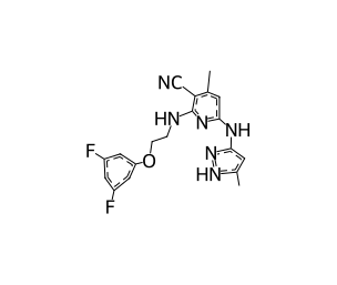 Cc1cc(Nc2cc(C)c(C#N)c(NCCOc3cc(F)cc(F)c3)n2)n[nH]1